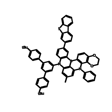 Cc1cc2c3c(c1)N(c1ccccc1)c1c(ccc4c1OCCO4)B3c1cc(-c3ccc4c(c3)sc3ccccc34)ccc1N2c1cc(-c2ccc(C(C)(C)C)cc2)cc(-c2ccc(C(C)(C)C)cc2)c1